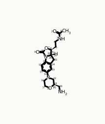 CC(=O)NCC[C@@H]1OC(=O)N2c3ccc(N4CCO[C@H](CN)C4)cc3C[C@@H]12